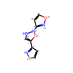 [C]1=C(c2ccsn2)ON(c2ccon2)N1